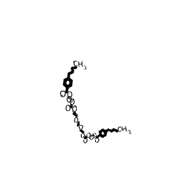 CCCCCc1ccc(C(=O)OOOC(=O)OCCOCCOCCOC(=O)OOOC(=O)c2ccc(CCCCC)cc2)cc1